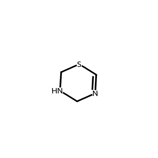 C1=NCNCS1